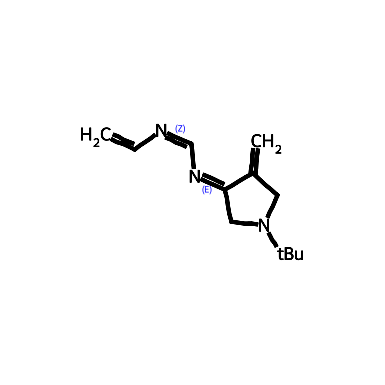 C=C/N=C\N=C1\CN(C(C)(C)C)CC1=C